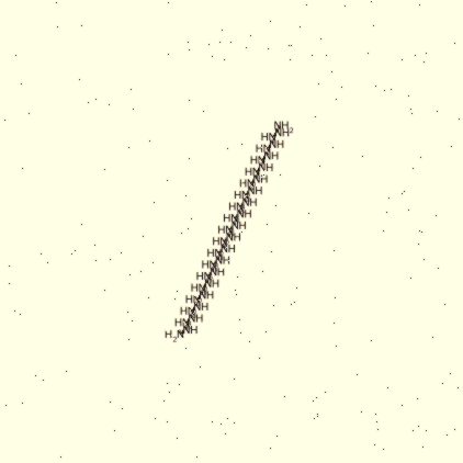 NNNNNNNNNNNNNNNNNNNNNNNNNNNNNNNNNNNNN